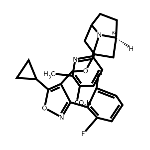 Cc1nc(N2C3CC[C@H]2CC(OCc2c(-c4c(F)cccc4Cl)noc2C2CC2)C3)ccc1C(=O)O